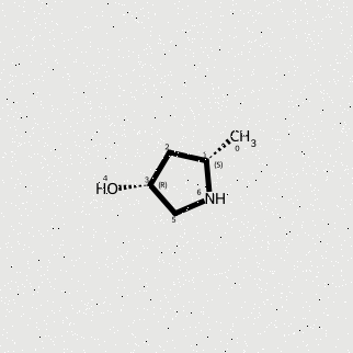 C[C@H]1C[C@@H](O)CN1